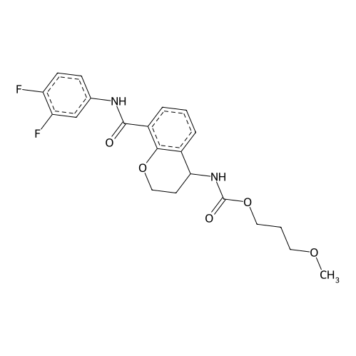 COCCCOC(=O)NC1CCOc2c(C(=O)Nc3ccc(F)c(F)c3)cccc21